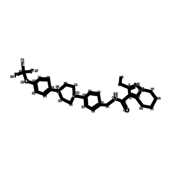 CCc1nn2c(c1C(=O)NCc1ccc(N3CCN(c4ccc(OC(F)(F)F)cc4)CC3)cc1)CCCC2